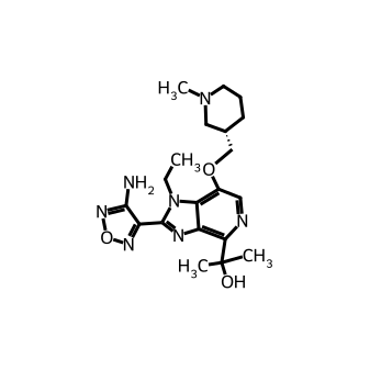 CCn1c(-c2nonc2N)nc2c(C(C)(C)O)ncc(OC[C@H]3CCCN(C)C3)c21